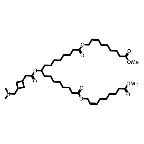 COC(=O)CCCCC/C=C\COC(=O)CCCCCCCC(CCCCCCCC(=O)OC/C=C\CCCCCC(=O)OC)OC(=O)CC1CC(CN(C)C)C1